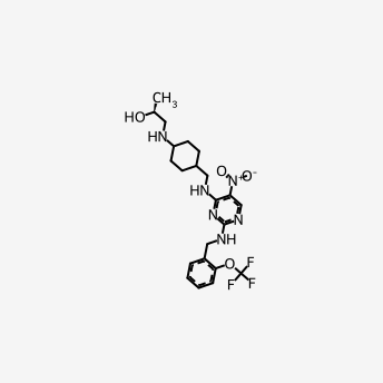 C[C@H](O)CNC1CCC(CNc2nc(NCc3ccccc3OC(F)(F)F)ncc2[N+](=O)[O-])CC1